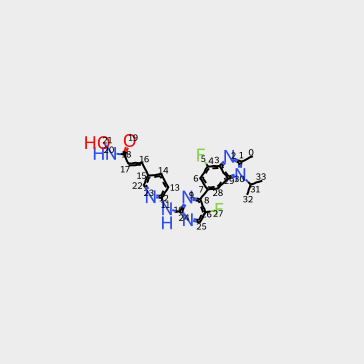 Cc1nc2c(F)cc(-c3nc(Nc4ccc(/C=C/C(=O)NO)cn4)ncc3F)cc2n1C(C)C